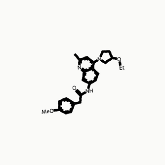 CCOC1CCN(c2cc(C)nc3cc(NC(=O)Cc4ccc(OC)cc4)ccc23)C1